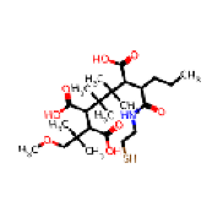 CCCC(C(=O)NCCS)C(C(=O)O)C(C)(C)C(C)(C)C(C(=O)O)C(C(=O)O)C(C)(C)COC